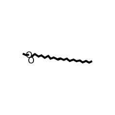 CCCCCCCCCCC=CCCCCCCCC(=O)OCC